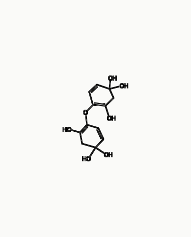 OC1=C(OC2=C(O)CC(O)(O)C=C2)C=CC(O)(O)C1